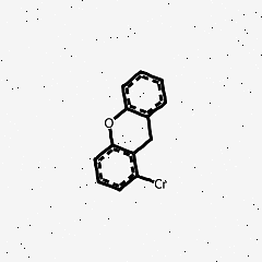 [Cr][c]1cccc2c1Cc1ccccc1O2